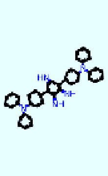 N=c1c(-c2ccc(N(c3ccccc3)c3ccccc3)cc2)c2[nH]c-2c(-c2ccc(N(c3ccccc3)c3ccccc3)cc2)c1=N